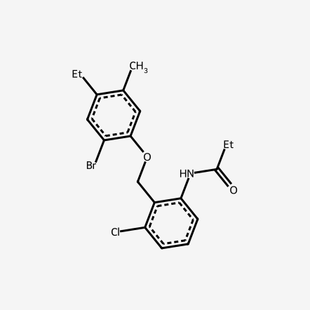 CCC(=O)Nc1cccc(Cl)c1COc1cc(C)c(CC)cc1Br